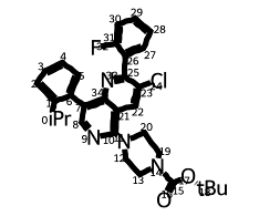 CC(C)c1ccccc1-c1cnc(N2CCN(C(=O)OC(C)(C)C)CC2)c2cc(Cl)c(-c3ccccc3F)nc12